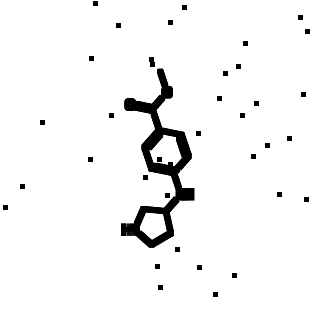 COC(=O)c1ccc(NC2CCNC2)cc1